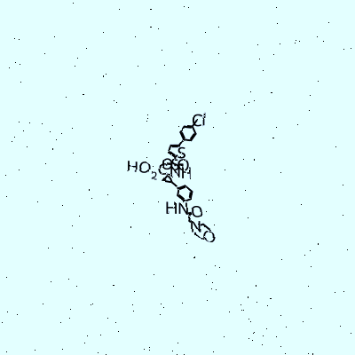 O=C(CN1CCOCC1)Nc1cccc(C2CC2(NS(=O)(=O)c2ccc(-c3ccc(Cl)cc3)s2)C(=O)O)c1